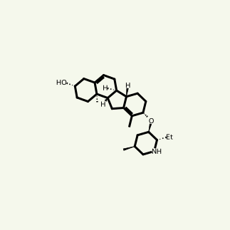 CC[C@@H]1NC[C@@H](C)C[C@H]1O[C@H]1CC[C@@H]2C(=C1C)C[C@H]1[C@H]2CC=C2C[C@@H](O)CC[C@@]21C